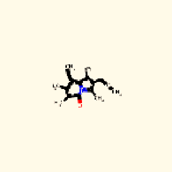 C=C=Cc1c(CCC)c2c(=C=C)c(C)c(C)c(=O)n2c1C